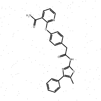 Cc1sc(NC(=O)Cc2ccc(Oc3ncccc3C(N)=O)cc2)nc1-c1ccccc1